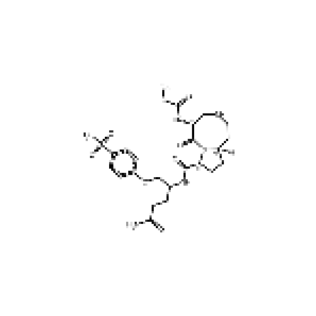 CC(C)(C)OC(=O)N[C@H]1CNCC[C@H]2CC[C@@H](C(=O)NC(CCC(N)=O)COc3ccc(S(C)(=O)=O)cc3)N2C1=O